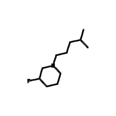 CC(C)CCCN1CCCC(F)C1